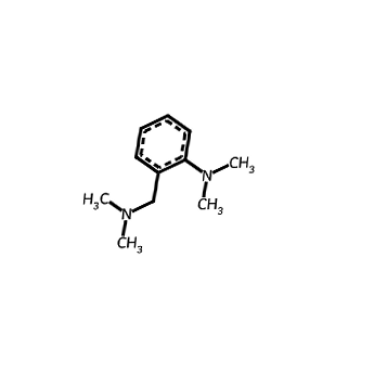 CN(C)Cc1ccccc1N(C)C